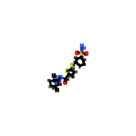 NS(=O)(=O)c1cccc(Sc2ccc(C(=O)N[C@@H]3C[C@H]4CC[C@@H]3N4)s2)c1